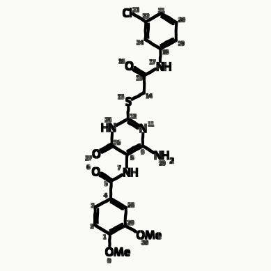 COc1ccc(C(=O)Nc2c(N)nc(SCC(=O)Nc3cccc(Cl)c3)[nH]c2=O)cc1OC